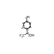 CC(C)c1ccc(C(O)C(F)(F)F)nc1